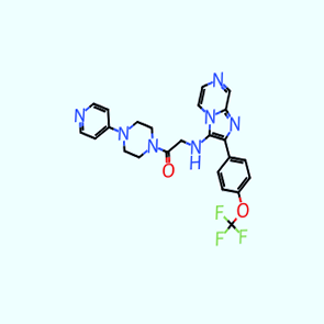 O=C(CNc1c(-c2ccc(OC(F)(F)F)cc2)nc2cnccn12)N1CCN(c2ccncc2)CC1